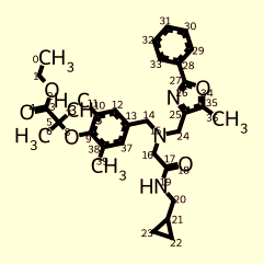 CCOC(=O)C(C)(C)Oc1c(C)cc(CN(CC(=O)NCC2CC2)Cc2nc(-c3ccccc3)oc2C)cc1C